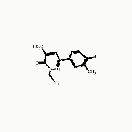 Cc1cc(-c2cc(C(=O)O)c(=O)n(CC(C)C)n2)ccc1F